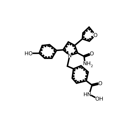 NC(=O)c1c(-c2ccoc2)cc(-c2ccc(O)cc2)n1Cc1ccc(C(=O)NO)cc1